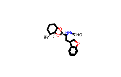 CC(C)[C@@H]1CCCC2OB(C(CC3COc4ccccc43)NC=O)O[C@]21C